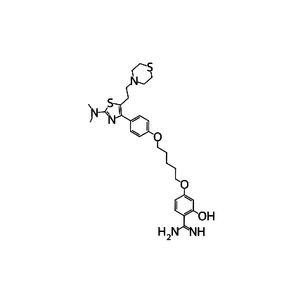 CN(C)c1nc(-c2ccc(OCCCCCOc3ccc(C(=N)N)c(O)c3)cc2)c(CCN2CCSCC2)s1